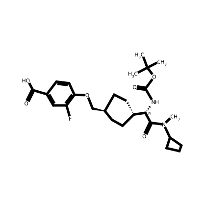 CN(C(=O)[C@@H](NC(=O)OC(C)(C)C)[C@H]1CC[C@H](COc2ccc(C(=O)O)cc2F)CC1)C1CCC1